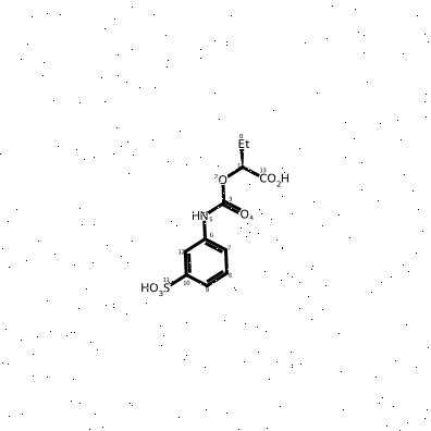 CC[C@H](OC(=O)Nc1cccc(S(=O)(=O)O)c1)C(=O)O